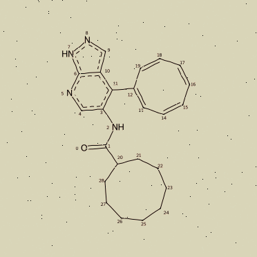 O=C(Nc1cnc2[nH]ncc2c1C1=C/C=C\C=C/C=C\1)C1CCCCCCCC1